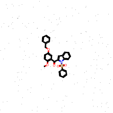 COc1ccc(OCc2ccccc2)cc1C(=O)c1cc2ccccc2n1S(=O)(=O)c1ccccc1